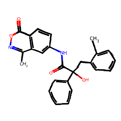 Cc1ccccc1CC(O)(C(=O)Nc1ccc2c(=O)onc(C)c2c1)c1ccccc1